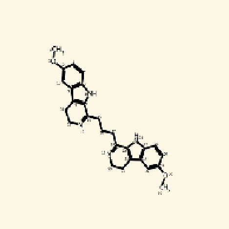 COc1ccc2[nH]c3c(c2c1)CCN=C3CCCC1=NCCc2c1[nH]c1ccc(OC)cc21